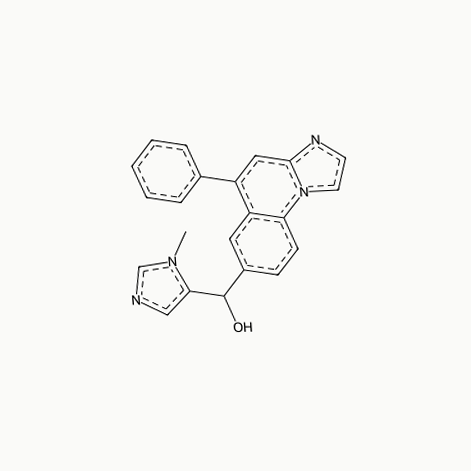 Cn1cncc1C(O)c1ccc2c(c1)c(-c1ccccc1)cc1nccn12